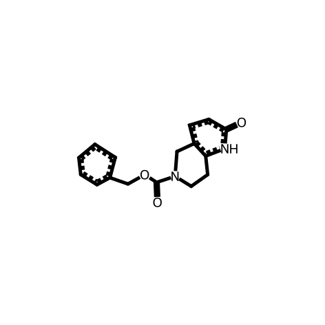 O=C(OCc1ccccc1)N1CCc2[nH]c(=O)ccc2C1